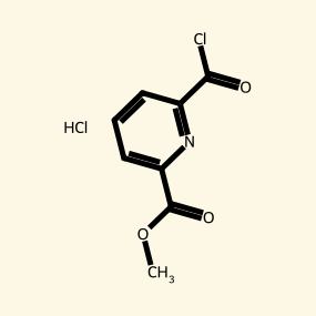 COC(=O)c1cccc(C(=O)Cl)n1.Cl